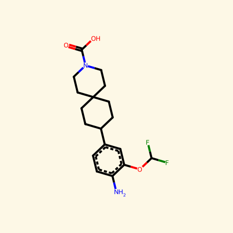 Nc1ccc(C2CCC3(CC2)CCN(C(=O)O)CC3)cc1OC(F)F